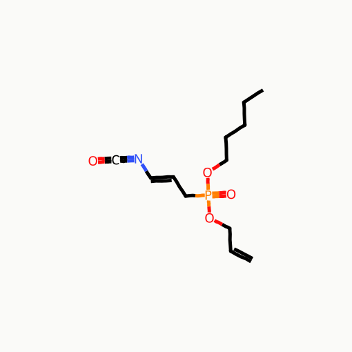 C=CCOP(=O)(CC=CN=C=O)OCCCCC